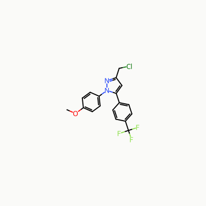 COc1ccc(-n2nc(CCl)cc2-c2ccc(C(F)(F)F)cc2)cc1